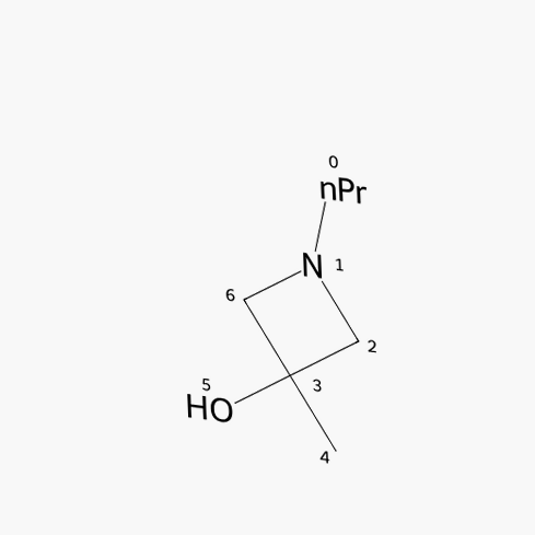 CCCN1CC(C)(O)C1